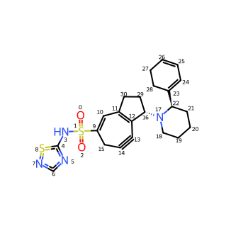 O=S(=O)(Nc1ncns1)C1=CC2=C(C#CC1)[C@@H](N1CCCC[C@@H]1C1=CC=CCC1)CC2